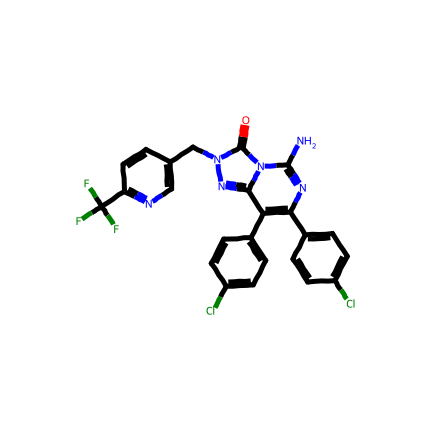 Nc1nc(-c2ccc(Cl)cc2)c(-c2ccc(Cl)cc2)c2nn(Cc3ccc(C(F)(F)F)nc3)c(=O)n12